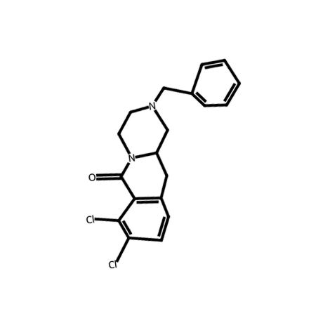 O=C1c2c(ccc(Cl)c2Cl)CC2CN(Cc3ccccc3)CCN12